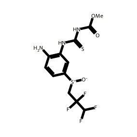 COC(=O)NC(=S)Nc1cc([S+]([O-])CC(F)(F)C(F)F)ccc1N